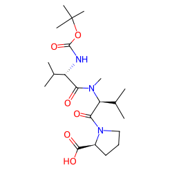 CC(C)[C@H](NC(=O)OC(C)(C)C)C(=O)N(C)[C@H](C(=O)N1CCC[C@H]1C(=O)O)C(C)C